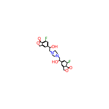 O=C1OCc2cc(C(O)CN3CCN(CC(O)C4=CC(F)C5C(=O)OCC5=C4)CC3)cc(F)c21